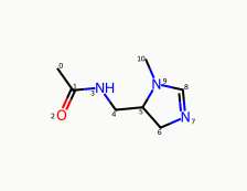 CC(=O)NCC1CN=CN1C